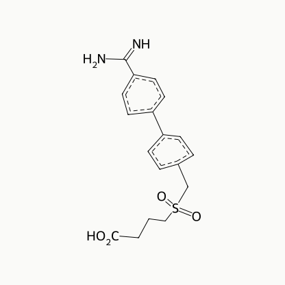 N=C(N)c1ccc(-c2ccc(CS(=O)(=O)CCCC(=O)O)cc2)cc1